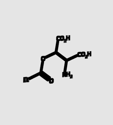 CCC(=O)OC(C(=O)O)C(N)C(=O)O